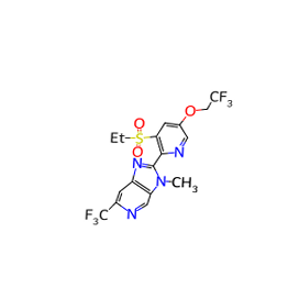 CCS(=O)(=O)c1cc(OCC(F)(F)F)cnc1-c1nc2cc(C(F)(F)F)ncc2n1C